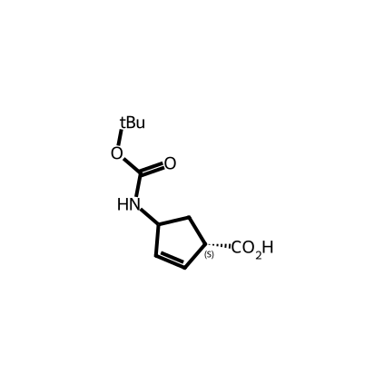 CC(C)(C)OC(=O)NC1C=C[C@@H](C(=O)O)C1